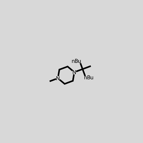 CCCCC(C)(CCCC)N1CCN(C)CC1